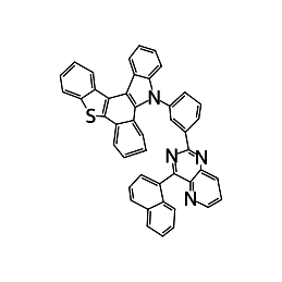 c1cc(-c2nc(-c3cccc4ccccc34)c3ncccc3n2)cc(-n2c3ccccc3c3c4c5ccccc5sc4c4ccccc4c32)c1